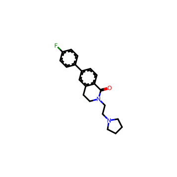 O=C1c2ccc(-c3ccc(F)cc3)cc2CCN1CCN1CCCC1